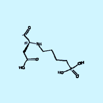 O=[C][C@H](CC(=O)O)NCCCCP(=O)(O)O